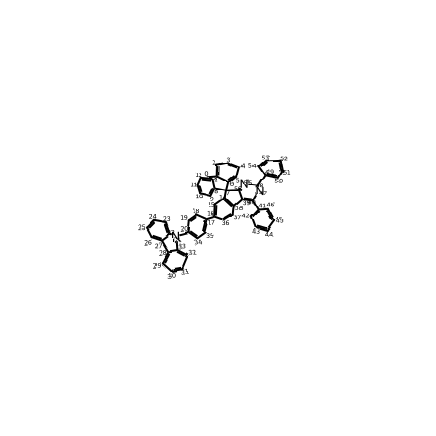 Cc1ccccc1C1(c2ccccc2)c2cc(-c3ccc(-n4c5ccccc5c5ccccc54)cc3)ccc2-c2c(-c3ccccc3)nc(-c3ccccc3)nc21